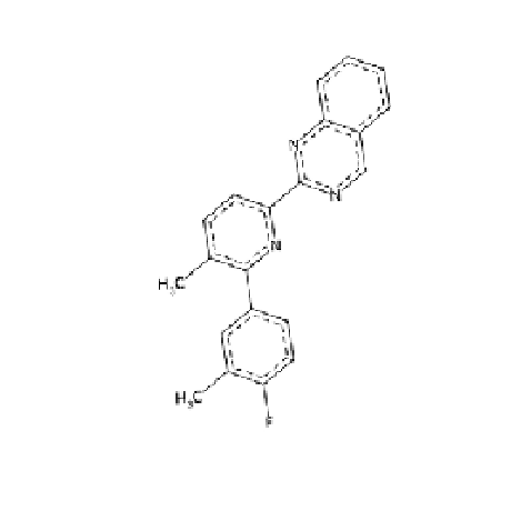 Cc1cc(-c2nc(-c3ncc4ccccc4n3)ccc2C)ccc1F